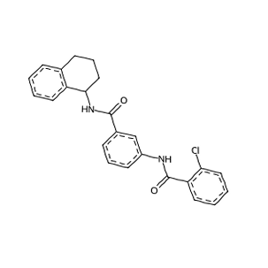 O=C(NC1CCCc2ccccc21)c1cccc(NC(=O)c2ccccc2Cl)c1